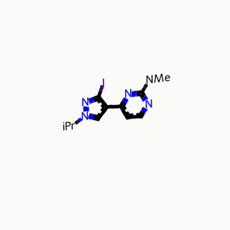 CNc1nccc(-c2cn(C(C)C)nc2I)n1